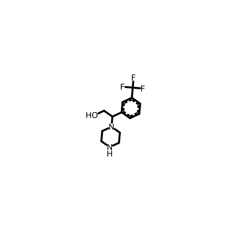 OCC(c1cccc(C(F)(F)F)c1)N1CCNCC1